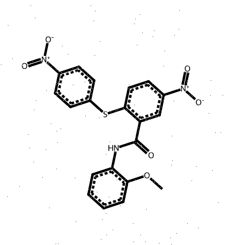 COc1ccccc1NC(=O)c1cc([N+](=O)[O-])ccc1Sc1ccc([N+](=O)[O-])cc1